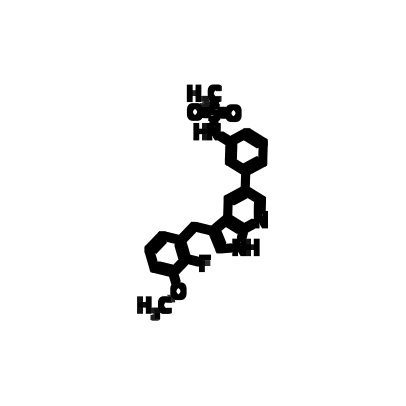 COc1cccc(Cc2c[nH]c3ncc(-c4cccc(NS(C)(=O)=O)c4)cc23)c1F